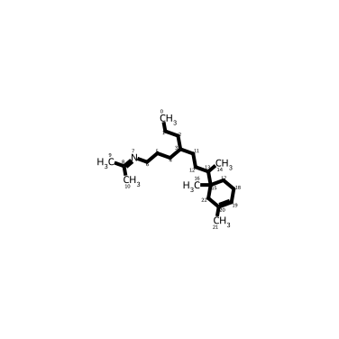 CCCC(CCCN=C(C)C)CCC(C)C1(C)CCC=C(C)C1